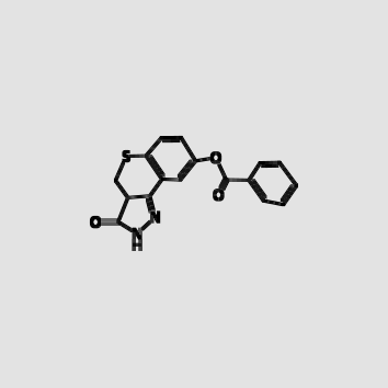 O=C(Oc1ccc2c(c1)C1=NNC(=O)C1CS2)c1ccccc1